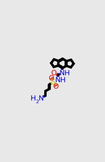 NCC/C=C/S(=O)(=O)NC(=O)Nc1c2c(cc3c1CCC3)CCC2